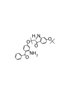 CC(C)(C)Oc1ccc(C(=O)CC(C)(C)Oc2ccc(C(=O)c3ccccc3)c(N)c2)c(N)c1